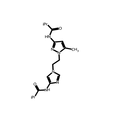 Cc1cc(NC(=O)C(C)C)nn1CCn1cnc(NC(=O)C(C)C)c1